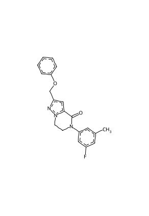 Cc1cc(F)cc(N2CCn3nc(COc4ccccc4)cc3C2=O)c1